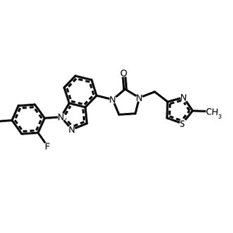 Cc1nc(CN2CCN(c3cccc4c3cnn4-c3ccc(F)cc3F)C2=O)cs1